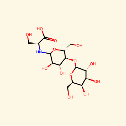 O=C(O)[C@H](CO)NC1O[C@H](CO)[C@@H](O[C@@H]2O[C@H](CO)[C@H](O)[C@H](O)[C@H]2O)[C@H](O)[C@H]1O